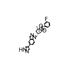 C[C@@H]1C[C@@H](Cn2ncc3cc(-c4cn[nH]c4)ccc32)CN1S(=O)(=O)c1cccc(F)c1